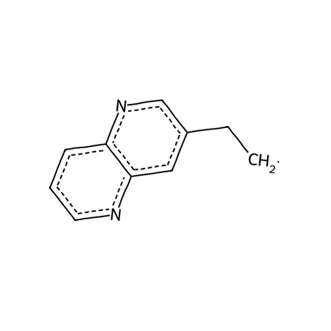 [CH2]Cc1cnc2cccnc2c1